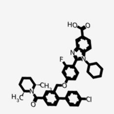 C[C@@H]1CCC[C@H](C)N1C(=O)c1ccc(-c2ccc(Cl)cc2)c(COc2ccc(-c3nc4cc(C(=O)O)ccc4n3C3CCCCC3)c(F)c2)c1